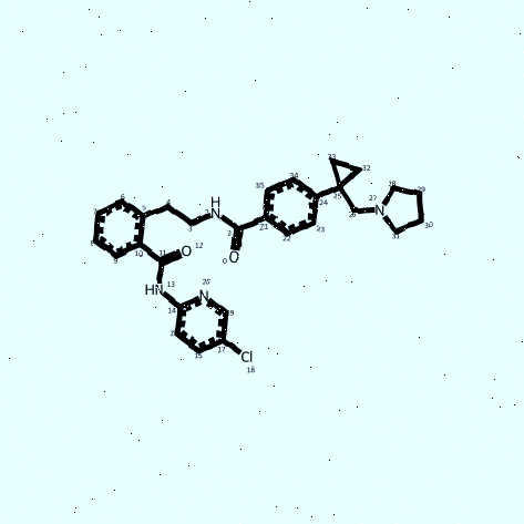 O=C(NCCc1ccccc1C(=O)Nc1ccc(Cl)cn1)c1ccc(C2(CN3CCCC3)CC2)cc1